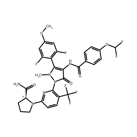 COc1cc(F)c(-c2c(NC(=O)c3ccc(OC(F)F)cc3)c(=O)n(-c3nc(N4CCC[C@H]4C(N)=O)ccc3C(F)(F)F)n2C)c(F)c1